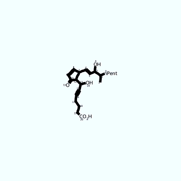 CCCCCC(C)C(O)/C=C/C1C=CC(=O)C1C(O)C#CCCCC(=O)O